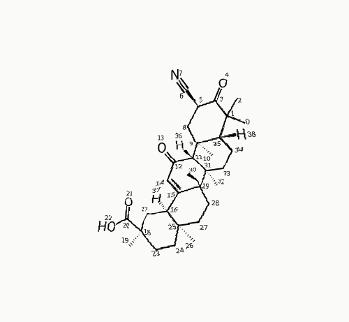 CC1(C)C(=O)[C@H](C#N)C[C@]2(C)[C@H]3C(=O)C=C4[C@@H]5C[C@](C)(C(=O)O)CC[C@]5(C)CC[C@@]4(C)[C@]3(C)CC[C@@H]12